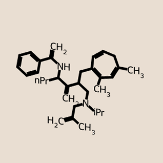 C=C(C)CN(CC(CC1=C(C)C=C(C)CC=C1)C(=C)C(CCC)NC(=C)c1ccccc1)C(C)C